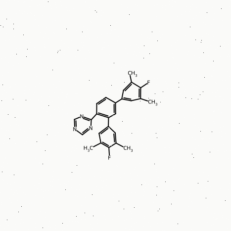 Cc1cc(-c2ccc(-c3ncncn3)c(-c3cc(C)c(F)c(C)c3)c2)cc(C)c1F